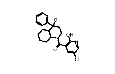 O=C(c1cc(Cl)cnc1O)N1CCC(O)(c2ccccc2)C2CCCCC21